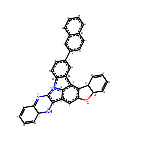 C1=CC2=Nc3c(c4cc5c(c6c7cc(-c8ccc9ccccc9c8)ccc7n3c46)C3C=CC=CC3O5)NC2C=C1